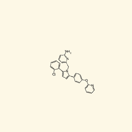 Nc1cccc(Cn2c(-c3ccc(Oc4ccccn4)cc3)ccc2-c2ccccc2Cl)n1